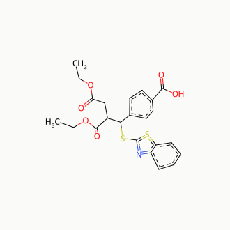 CCOC(=O)CC(C(=O)OCC)C(Sc1nc2ccccc2s1)c1ccc(C(=O)O)cc1